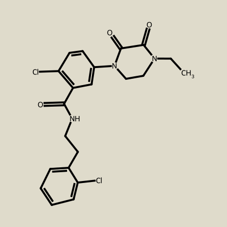 CCN1CCN(c2ccc(Cl)c(C(=O)NCCc3ccccc3Cl)c2)C(=O)C1=O